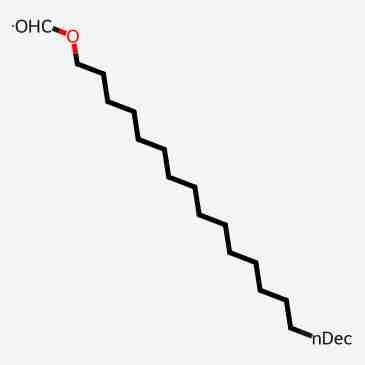 CCCCCCCCCCCCCCCCCCCCCCCCCO[C]=O